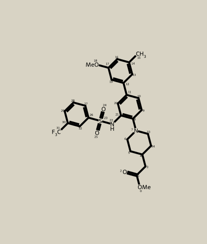 COC(=O)CC1CCN(c2ccc(-c3cc(C)cc(OC)c3)cc2NS(=O)(=O)c2cccc(C(F)(F)F)c2)CC1